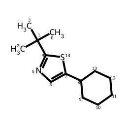 CC(C)(C)c1ncc(C2CCCCC2)s1